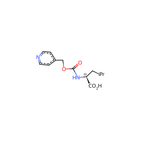 CC(C)C[C@H](NC(=O)OCc1ccncc1)C(=O)O